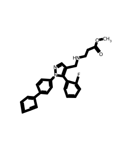 COC(=O)CCNCc1cnn(-c2ccc(-c3ccccc3)cc2)c1-c1ccccc1F